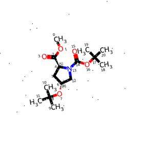 COC(=O)[C@@H]1C[C@@H](OC(C)(C)C)CN1C(=O)OC(C)(C)C